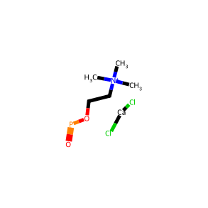 C[N+](C)(C)CCOP=O.[Cl][Ca][Cl]